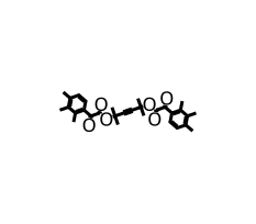 Cc1ccc(C(=O)C(=O)OC(C)(C)C#CC(C)(C)OC(=O)C(=O)c2ccc(C)c(C)c2C)c(C)c1C